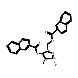 O=C(OC[C@H]1S[C@H](Br)[C@@H](F)[C@@H]1OC(=O)c1ccc2ccccc2c1)c1ccc2ccccc2c1